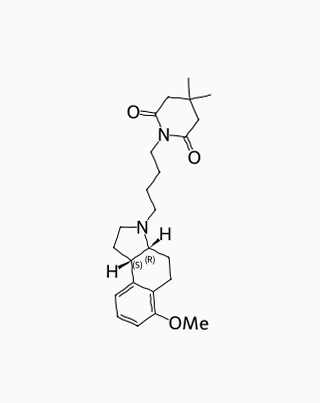 COc1cccc2c1CC[C@@H]1[C@H]2CCN1CCCCN1C(=O)CC(C)(C)CC1=O